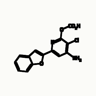 Nc1cc(-c2cc3ccccc3o2)nc(OC(=O)O)c1Cl